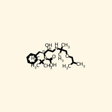 CC(C)COCC(C)(C)NC[C@@H](O)[C@H](Cc1ccccc1)N(C(=O)O)C(C)(C)C